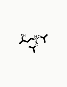 CC(S)CC[SiH](OC(C)C)OC(C)C